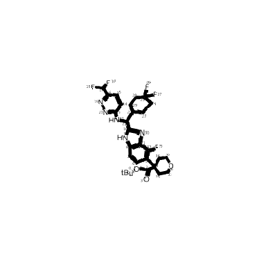 CC(C)(C)OC(=O)C1(c2ccc3[nH]c(C(Nc4ccc(C(F)F)nn4)C4CCC(F)(F)CC4)nc3c2F)CCOCC1